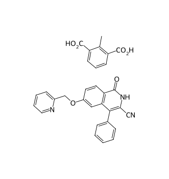 Cc1c(C(=O)O)cccc1C(=O)O.N#Cc1[nH]c(=O)c2ccc(OCc3ccccn3)cc2c1-c1ccccc1